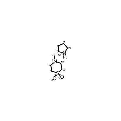 O=S1(=O)CCN(C[C@@H]2CCCN2)CC1